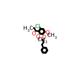 CCC(=O)c1c(Cl)cc(OC)c(OCCCc2ccccc2)c1OC